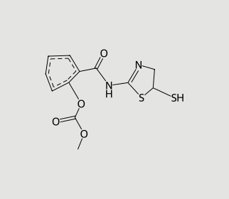 COC(=O)Oc1ccccc1C(=O)NC1=NCC(S)S1